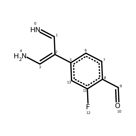 N=C/C(=C\N)c1ccc(C=O)c(F)c1